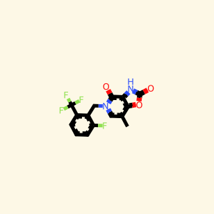 Cc1cn(Cc2c(F)cccc2C(F)(F)F)c(=O)c2[nH]c(=O)oc12